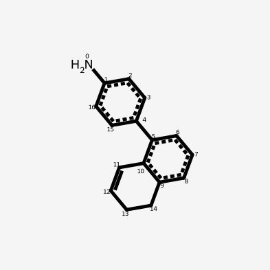 Nc1ccc(-c2cccc3c2C=CCC3)cc1